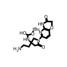 CC(C)(C)OC(O)NC1(CCN)CC(=O)N(c2ccc3c(n2)NC(=O)CO3)C1